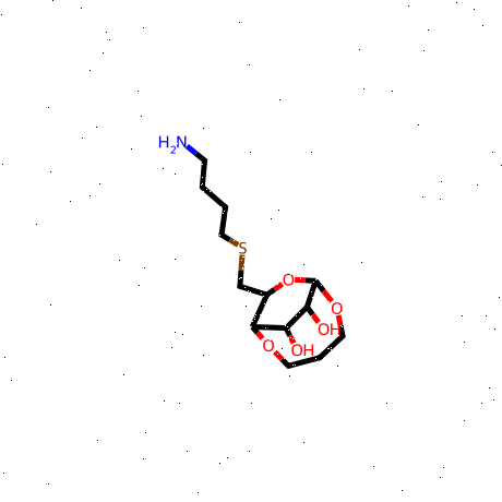 NCCCCSCC1OC2OCCCOC1C(O)C2O